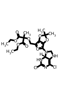 CCOC(=O)C(C)(OCc1oc(N2CNC3=C(Cl)N=C(Cl)N[C@@H]32)c2c1OC(C)(C)O2)C(=O)OCC